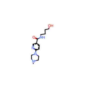 CN1CCN(c2ccc(C(=O)NCCCCO)cn2)CC1